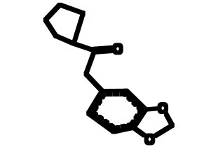 O=C(Cc1ccc2c(c1)OCO2)C1CCCC1